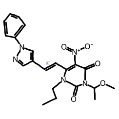 CCCn1c(/C=C/c2cnn(-c3ccccc3)c2)c([N+](=O)[O-])c(=O)n(C(C)OC)c1=O